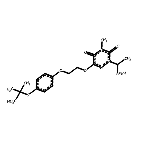 CCCCCC(C)n1nc(OCCOc2ccc(SC(C)(C)C(=O)O)cc2)c(=O)n(C)c1=O